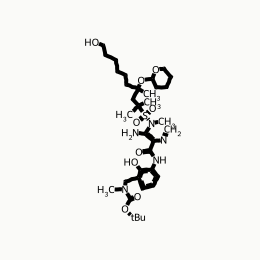 C=N/C(C(=O)Nc1cccc(CN(C)C(=O)OC(C)(C)C)c1O)=C(/N)N(C)S(=O)(=O)C(C)(C)CC(C)(CCCCCCO)OC1CCCCO1